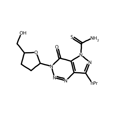 CCCc1nn(C(N)=S)c2c(=O)n(C3CCC(CO)O3)nnc12